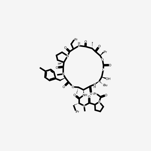 CC[C@@H](C)[C@H]1NC(=O)[C@H](NC(=O)[C@@H](CC(C)C)N(C)C(=O)C2CCCN2C(=O)C(C)C)[C@H](C)OC(=O)[C@@H](Cc2ccc(C)cc2)N(C)C(=O)[C@H]2CCCN2C(=O)C(CC(C)C)NC(=O)[C@H](C)C(=O)[C@@H](C(C)C)OC(=O)C[C@H]1O